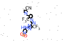 CS(=O)(=O)N1CCC(Nc2ncc(C(F)(F)F)c(-c3cn(-c4cccc(CN5CC[C@H](C#N)C5)c4C(F)(F)F)cn3)n2)CC1